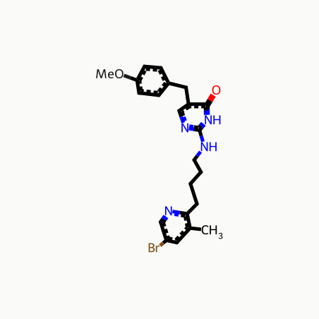 COc1ccc(Cc2cnc(NCCCCc3ncc(Br)cc3C)[nH]c2=O)cc1